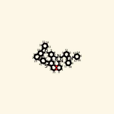 c1ccc(-c2nc(-c3ccc(-n4c5ccccc5c5cc6ccccc6cc54)cc3-c3cc4ccccc4c4sc5ccccc5c34)nc(-c3cccc4c3c3ccccc3n4-c3ccccc3)n2)cc1